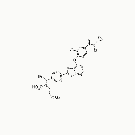 COCCN(C(=O)O)C(c1ccc(-c2cc3nccc(Oc4ccc(NC(=O)C5CC5)cc4F)c3s2)nc1)C(C)(C)C